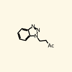 CC(=O)CCn1nnc2ccccc21